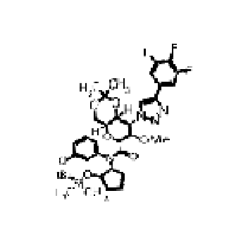 CO[C@@H]1[C@@H](n2cc(-c3cc(F)c(F)c(F)c3)nn2)[C@H]2OC(C)(C)OC[C@H]2O[C@H]1C(=O)N(c1cccc(Cl)c1)[C@H]1CCCC1O[Si](C)(C)C(C)(C)C